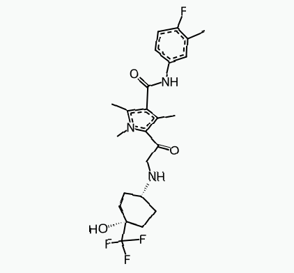 Cc1cc(NC(=O)c2c(C)c(C(=O)CN[C@H]3CC[C@](O)(C(F)(F)F)CC3)n(C)c2C)ccc1F